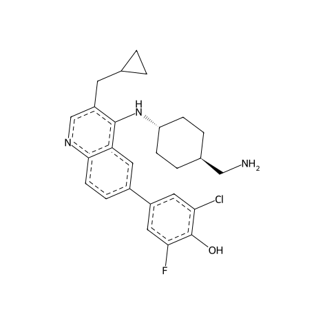 NC[C@H]1CC[C@H](Nc2c(CC3CC3)cnc3ccc(-c4cc(F)c(O)c(Cl)c4)cc23)CC1